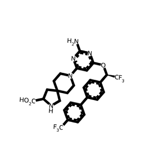 Nc1nc(O[C@H](c2ccc(-c3ccc(C(F)(F)F)cc3)cc2)C(F)(F)F)cc(N2CCC3(CC2)CNC(C(=O)O)C3)n1